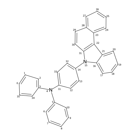 c1ccc(N(c2ccccc2)c2ccc(-n3c4ccccc4c4c5ccccc5ccc43)cc2)cc1